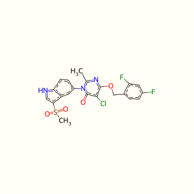 Cc1nc(OCc2ccc(F)cc2F)c(Cl)c(=O)n1-c1ccc2[nH]cc(S(C)(=O)=O)c2c1